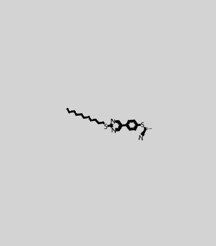 CCCCCCCCCCCSc1ncc(-c2ccc(S[C@H](C)C#N)cc2)cn1